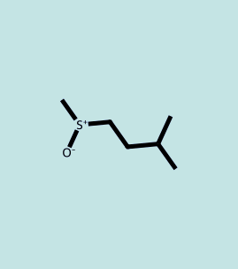 CC(C)CC[S+](C)[O-]